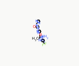 C/C(N)=C(\COc1ccc(N2CCN(Cc3ncccn3)C(=O)C2)nn1)N(N)c1ccc(C(F)F)cc1